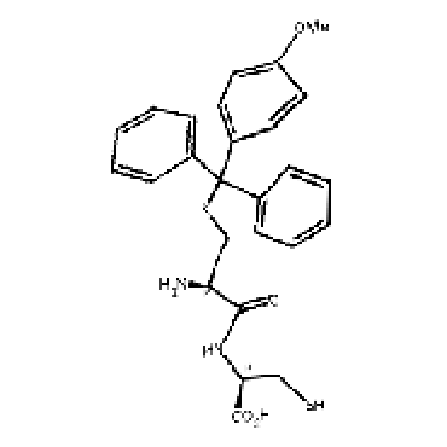 COc1ccc(C(SC[C@H](N)C(=O)N[C@@H](CS)C(=O)O)(c2ccccc2)c2ccccc2)cc1